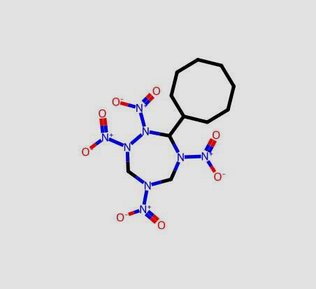 O=[N+]([O-])N1CN([N+](=O)[O-])C(C2CCCCCCC2)N([N+](=O)[O-])N([N+](=O)[O-])C1